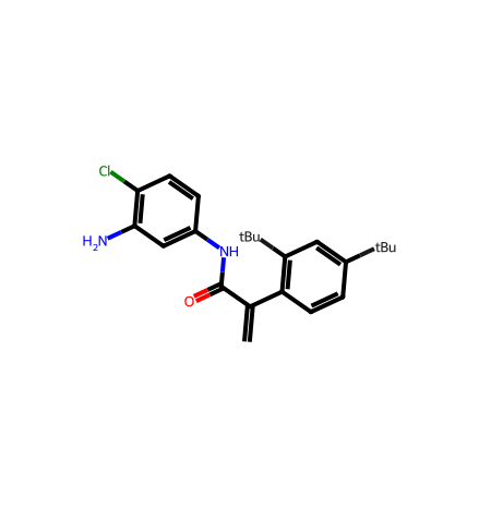 C=C(C(=O)Nc1ccc(Cl)c(N)c1)c1ccc(C(C)(C)C)cc1C(C)(C)C